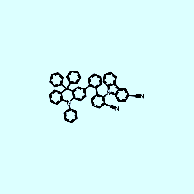 N#Cc1ccc2c(c1)c1ccccc1n2-c1c(C#N)cccc1-c1ccccc1-c1ccc2c(c1)C(c1ccccc1)(c1ccccc1)c1ccccc1N2c1ccccc1